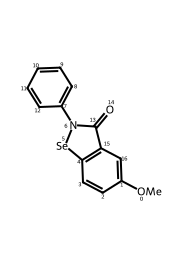 COc1ccc2[se]n(-c3ccccc3)c(=O)c2c1